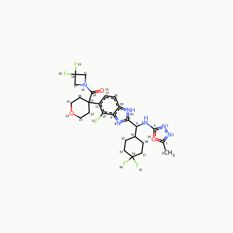 Cc1nnc(NC(c2nc3c(F)c(C4(C(=O)N5CC(F)(F)C5)CCOCC4)ccc3[nH]2)C2CCC(F)(F)CC2)o1